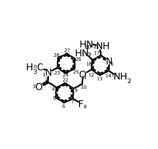 CN(C(=O)c1ccc(F)c(COc2cc(N)nc3c2NNN3)c1)c1ccccc1